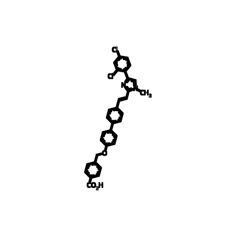 Cn1cc(-c2ccc(Cl)cc2Cl)nc1C=Cc1ccc(-c2ccc(OCc3ccc(C(=O)O)cc3)cc2)cc1